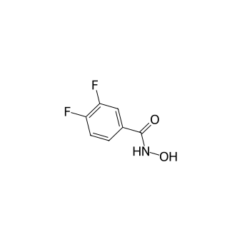 O=C(NO)c1ccc(F)c(F)c1